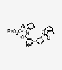 CCOC(=O)C[S@@](=O)(=NC(=O)c1cncc(-c2cccc(NC(=O)c3occc3C)c2)c1)c1ccccc1